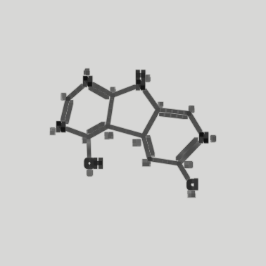 Oc1ncnc2[nH]c3cnc(Cl)cc3c12